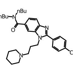 CCCCN(CCCC)C(=O)c1ccc2nc(-c3ccc(Cl)cc3)n(CCCN3CCCCC3)c2c1